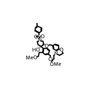 COCCCN1CCOc2ccc(CO[C@H]3CN(S(=O)(=O)c4ccc(C)cc4)CC[C@]3(O)c3ccc(CCl)cc3CCOC)cc21